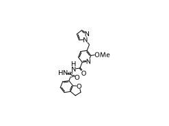 COc1nc(C(=O)N[S@@](=N)(=O)c2cccc3c2OCC3)ccc1Cn1cccn1